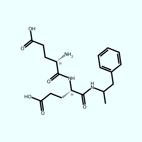 CC(Cc1ccccc1)NC(=O)[C@H](CCC(=O)O)NC(=O)[C@@H](N)CCC(=O)O